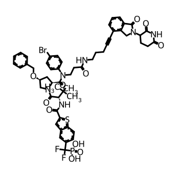 CC(C)(C)[C@H](NC(=O)c1cc2cc(C(F)(F)P(=O)(O)O)ccc2s1)C(=O)N1C[C@@H](OCc2ccccc2)C[C@H]1C(=O)N(CCC(=O)NCCCC#Cc1cccc2c1CN(C1CCC(=O)NC1=O)C2=O)c1ccc(Br)cc1